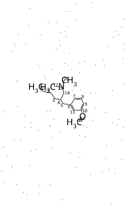 CCCCC(Cc1cccc(OC)c1)CN(C)C